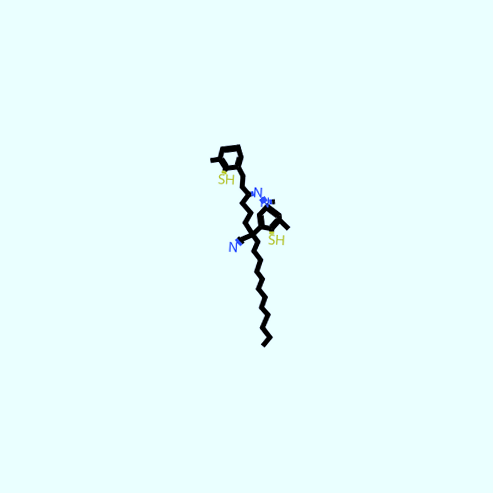 CCCCCCCCCCCCC(C#N)(CCCC(CCc1cccc(C)c1S)/N=N/C)c1cccc(C)c1S